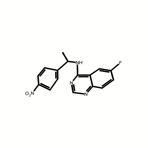 CC(Nc1ncnc2ccc(F)cc12)c1ccc([N+](=O)[O-])cc1